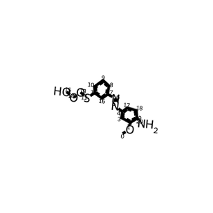 COc1cc(N=Nc2cccc(SOOO)c2)ccc1N